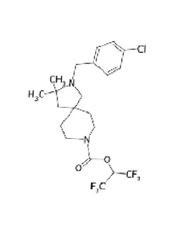 CC1(C)CC2(CCN(C(=O)OC(C(F)(F)F)C(F)(F)F)CC2)CN1Cc1ccc(Cl)cc1